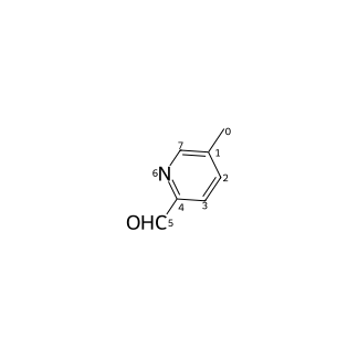 Cc1ccc(C=O)nc1